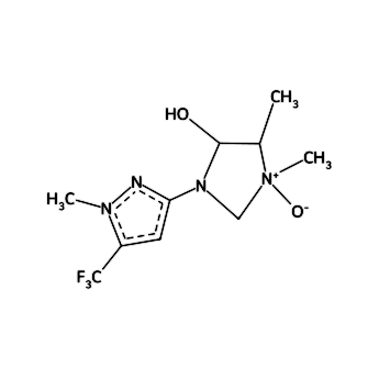 CC1C(O)N(c2cc(C(F)(F)F)n(C)n2)C[N+]1(C)[O-]